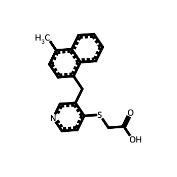 Cc1ccc(Cc2cnccc2SCC(=O)O)c2ccccc12